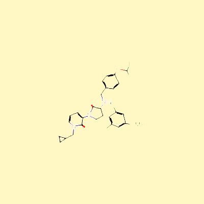 COc1cc(F)c([C@@H]2CN(c3cccn(CC4CC4)c3=O)C(=O)[C@H]2NCc2ccc(OC(F)F)cc2)c(F)c1